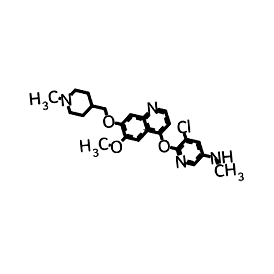 CNc1cnc(Oc2ccnc3cc(OCC4CCN(C)CC4)c(OC)cc23)c(Cl)c1